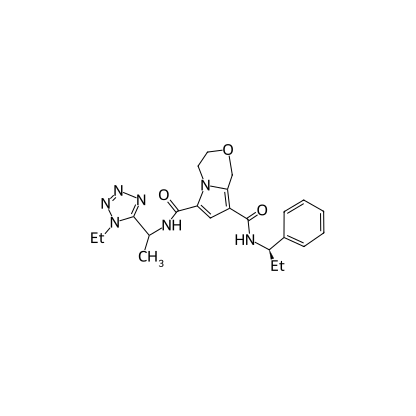 CC[C@@H](NC(=O)c1cc(C(=O)NC(C)c2nnnn2CC)n2c1COCC2)c1ccccc1